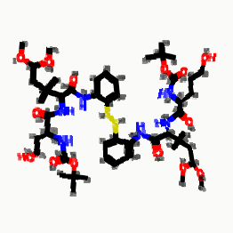 COC(CC(C)(C)C(NC(=O)[C@H](CCO)NC(=O)OC(C)(C)C)C(=O)Nc1ccccc1SSc1ccccc1NC(=O)[C@H](NC(=O)[C@H](CCCO)NC(=O)OC(C)(C)C)C(C)(C)CC(OC)OC)OC